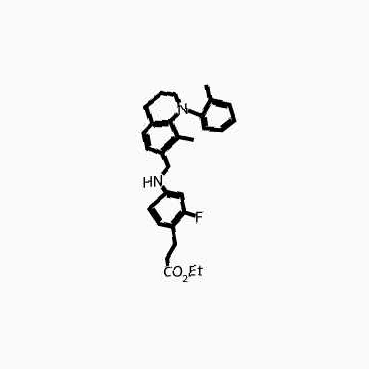 CCOC(=O)CCc1ccc(NCc2ccc3c(c2C)N(c2ccccc2C)CCC3)cc1F